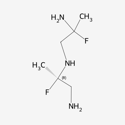 CC(N)(F)CN[C@](C)(F)CN